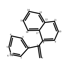 C=C(c1cccnc1)c1cccc2ccccc12